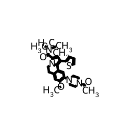 COc1cc2c(cc1N1CCN(C(C)=O)CC1)-c1c(-c3cccs3)cc(C(=O)N(C)C(C)(C)C)n1CC2